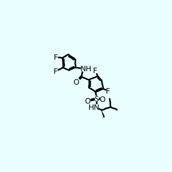 CC(C)[C@@H](C)NS(=O)(=O)c1cc(C(=O)Nc2ccc(F)c(F)c2)c(F)cc1F